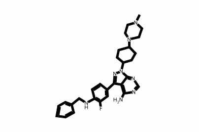 CN1CCN(C2CCC(n3nc(-c4ccc(NCc5ccccc5)c(F)c4)c4c(N)ncnc43)CC2)CC1